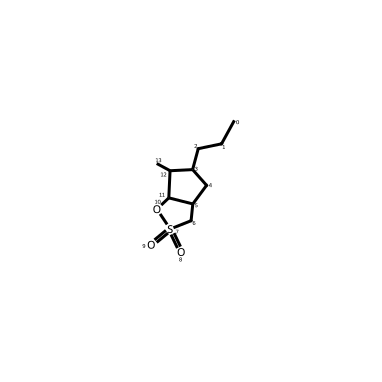 CCCC1CC2CS(=O)(=O)OC2C1C